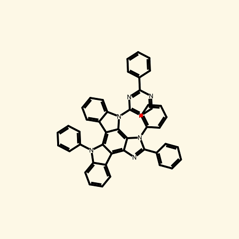 c1ccc(-c2ncnc(-n3c4ccccc4c4c5c(c6ccccc6n5-c5ccccc5)c5nc(-c6ccccc6)n(-c6ccccc6)c5c43)n2)cc1